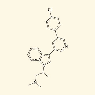 CC(CN(C)C)n1cc(-c2cncc(-c3ccc(Cl)cc3)c2)c2ccccc21